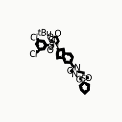 CC(C)(C)OC(=O)CN(c1ccc2cc(-c3nc(CS(=O)(=O)c4ccccc4)no3)ccc2c1)S(=O)(=O)c1cc(Cl)cc(Cl)c1